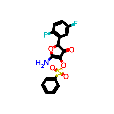 NC1=C(OS(=O)(=O)c2ccccc2)C(=O)C(c2cc(F)ccc2F)O1